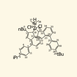 CCCCC1=Cc2c(-c3ccc(C(C)C)cc3)cccc2[CH]1[Zr]([Cl])([Cl])([CH]1C=Cc2c(-c3ccc(C(C)(C)C)cc3)cccc21)[SiH](C)C